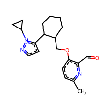 Cc1ccc(OCC2CCCCC2c2ccnn2C2CC2)c(C=O)n1